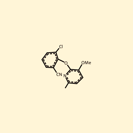 COc1ccc(C)nc1Oc1c(Cl)cccc1C#N